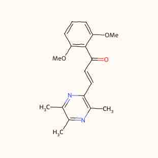 COc1cccc(OC)c1C(=O)/C=C/c1nc(C)c(C)nc1C